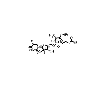 CC(C)OC(=O)[C@H](C)NP(=O)(OCCSC(=O)C(C)(C)C)OC[C@H]1O[C@@H](n2cc(F)c(=O)[nH]c2=O)[C@](F)(Cl)[C@@H]1O